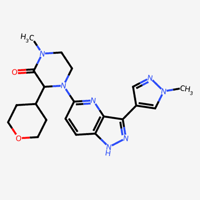 CN1CCN(c2ccc3[nH]nc(-c4cnn(C)c4)c3n2)C(C2CCOCC2)C1=O